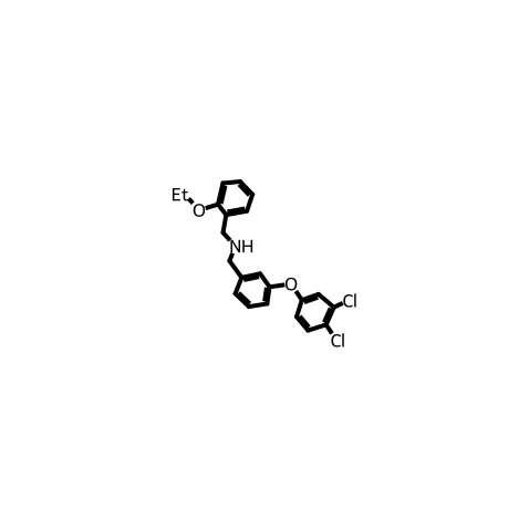 CCOc1ccccc1CNCc1cccc(Oc2ccc(Cl)c(Cl)c2)c1